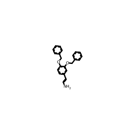 NC=Cc1ccc(OCc2ccccc2)c(OCc2ccccc2)c1